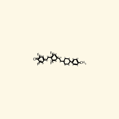 Cc1ccc(C2CCC(CCc3cc(F)c(CCc4cc(F)c(Cl)c(F)c4)c(F)c3)CC2)cc1